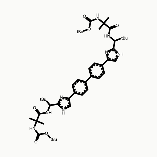 CC(C)(C)OC(=O)NC(C)(C)C(=O)NC(c1nc(-c2ccc(-c3ccc(-c4c[nH]c(C(NC(=O)C(C)(C)NC(=O)OC(C)(C)C)C(C)(C)C)n4)cc3)cc2)c[nH]1)C(C)(C)C